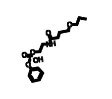 CCCOCCCC(=O)NCCOP(=O)(O)Oc1ccccc1